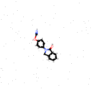 N#COc1ccc(N2Cc3ccccc3C2=O)cc1